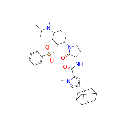 CC(C)N(C)[C@@H]1CC[C@H](N2CC[C@H](NC(=O)c3cc(C45CC6CC(CC(C6)C4)C5)cn3C)C2=O)[C@H](CS(=O)(=O)c2ccccc2)C1